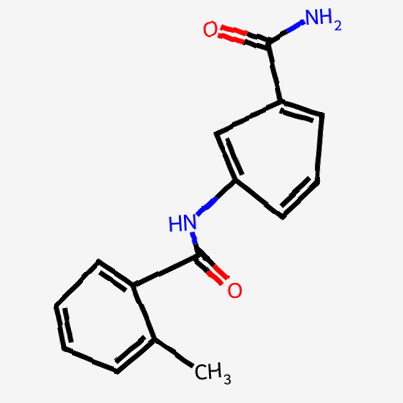 Cc1ccccc1C(=O)Nc1cccc(C(N)=O)c1